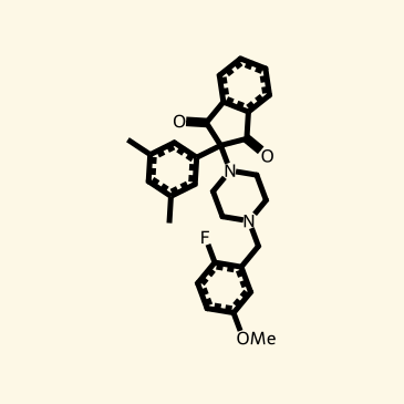 COc1ccc(F)c(CN2CCN(C3(c4cc(C)cc(C)c4)C(=O)c4ccccc4C3=O)CC2)c1